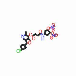 Cc1ncc2c(c1OC(=O)CCC(=O)N[C@@H]1C[C@H](O[N+](=O)[O-])[C@H](O[N+](=O)[O-])C1)COC2c1ccc(Cl)cc1